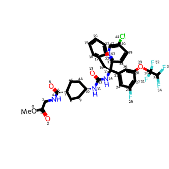 COC(=O)CNC(=O)[C@H]1CC[C@@H](NC(=O)N[C@@](Cc2ccccc2)(c2cc(F)cc(OC(F)(F)C(F)F)c2)c2ccc(Cl)cn2)CC1